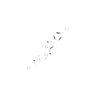 COc1ccc(-n2cc(C(=O)N3CCN(C(=O)OC(C)(C)C)CC3)[nH]c2=S)cc1